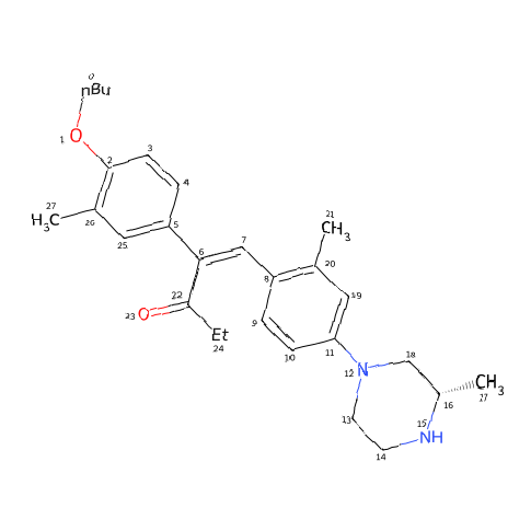 CCCCOc1ccc(/C(=C/c2ccc(N3CCN[C@@H](C)C3)cc2C)C(=O)CC)cc1C